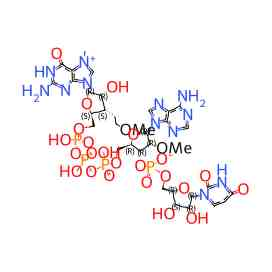 COCC[C@H]1[C@@H](O)[C@H](n2c[n+](C)c3c(=O)[nH]c(N)nc32)O[C@@H]1COP(=O)(O)OP(=O)(O)OP(=O)(O)OC[C@H]1O[C@@H](n2cnc3c(N)ncnc32)[C@H](OC)[C@@H]1OP(=O)([O-])OC[C@H]1O[C@@H](n2ccc(=O)[nH]c2=O)[C@H](O)[C@@H]1O